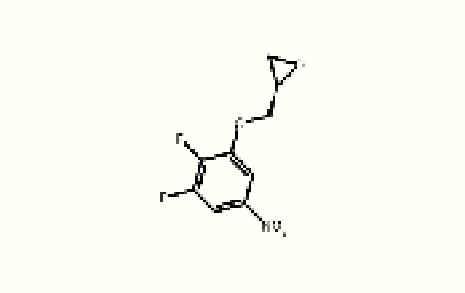 O=[N+]([O-])c1cc(F)c(F)c(OC[C@H]2CO2)c1